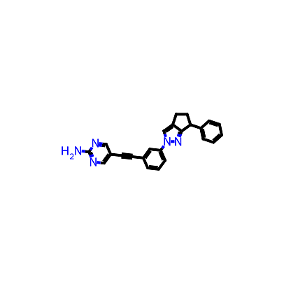 Nc1ncc(C#Cc2cccc(-n3cc4c(n3)C(c3ccccc3)CC4)c2)cn1